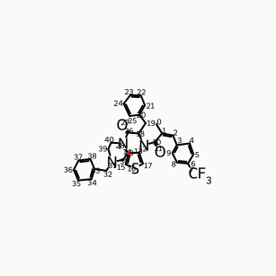 CC(=Cc1ccc(C(F)(F)F)cc1)C(=O)N(c1ccsc1)C(Cc1ccccc1)C(=O)N1CCN(Cc2ccccc2)CC1